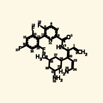 C=C/C(NC(=O)c1ccc(F)c(-c2c(F)cc(F)cc2F)n1)=C(\C=C/N)[C@@H]1C[C@H](C)C[C@H](N)C1